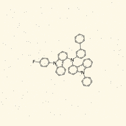 Fc1ccc(-n2c3ccccc3c3c(N(c4cccc(-c5ccccc5)c4)c4cccc5c4c4ccccc4n5-c4ccccc4)cccc32)cc1